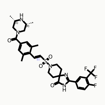 Cc1cc(C(=O)N2C[C@@H](C)N[C@@H](C)C2)cc(C)c1/C=C/S(=O)(=O)N1CCC2(CC1)N=C(c1ccc(F)c(C(F)(F)F)c1)NC2=O